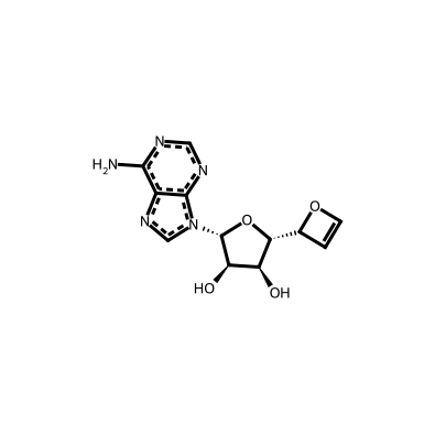 Nc1ncnc2c1ncn2[C@@H]1O[C@H](C2C=CO2)[C@@H](O)[C@H]1O